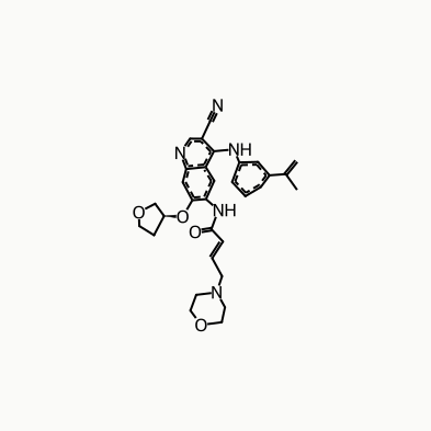 C=C(C)c1cccc(Nc2c(C#N)cnc3cc(O[C@H]4CCOC4)c(NC(=O)/C=C/CN4CCOCC4)cc23)c1